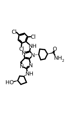 NC(=O)[C@H]1CC[C@H](n2c(Nc3c(Cl)cc(Cl)cc3Cl)nc3cnc(N[C@@H]4CC[C@@H](O)C4)nc32)CC1